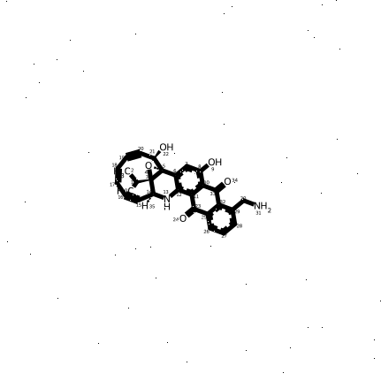 CC(C)[C@@]12O[C@]13c1cc(O)c4c(c1N[C@H]2C#C/C=C\C#C[C@H]3O)C(=O)c1cccc(CN)c1C4=O